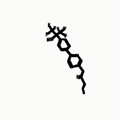 CCCNCc1ccc(-c2ccc(C(O)(C(F)(F)F)C(F)(F)F)cc2)nc1